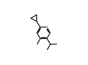 Cc1cc(C2CC2)ncc1C(C)C